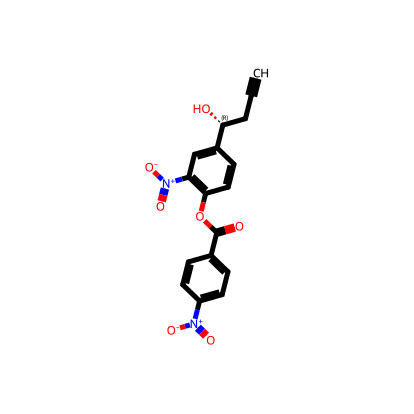 C#CC[C@@H](O)c1ccc(OC(=O)c2ccc([N+](=O)[O-])cc2)c([N+](=O)[O-])c1